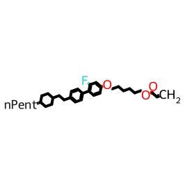 C=CC(=O)OCCCCCCOc1ccc(-c2ccc(CCC3CCC(CCCCC)CC3)cc2)c(F)c1